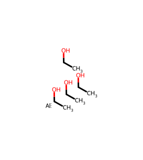 CCO.CCO.CCO.CCO.[Al]